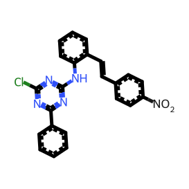 O=[N+]([O-])c1ccc(C=Cc2ccccc2Nc2nc(Cl)nc(-c3ccccc3)n2)cc1